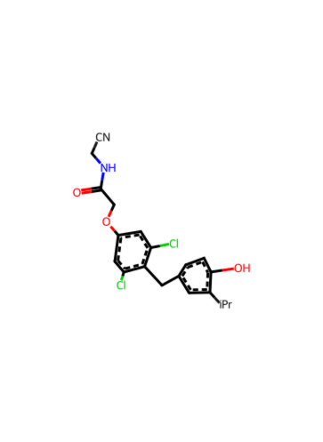 CC(C)c1cc(Cc2c(Cl)cc(OCC(=O)NCC#N)cc2Cl)ccc1O